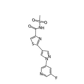 CS(=O)(=O)NC(=O)c1csc(-c2cnn(-c3cncc(F)c3)c2)n1